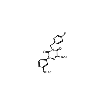 COc1nn(-c2cccc(NC(C)=O)c2)c(=O)n(Cc2ccc(F)cc2)c1=O